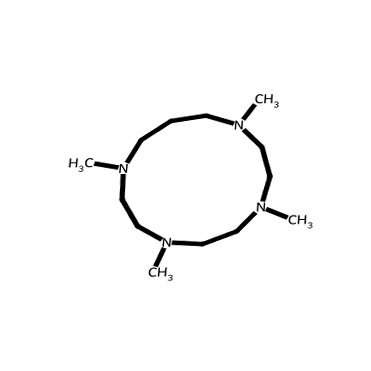 CN1CCCN(C)CCN(C)CCN(C)CC1